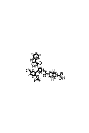 O=C(Nc1cn(CC(=O)N2C[C@H]3CN(C(=O)O)C[C@H]3C2)nc1-c1cc(Cl)ccc1OC(F)F)c1cnn2cccnc12